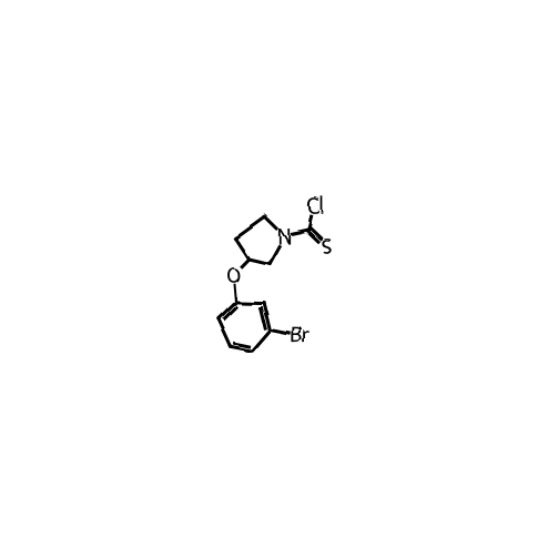 S=C(Cl)N1CCC(Oc2cccc(Br)c2)C1